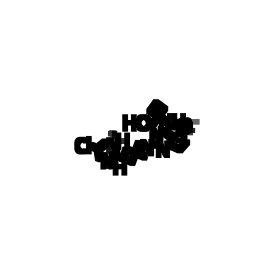 [2H]C1C2(CN(c3nc4c(c(NC5(CO)CCC5)n3)[S+]([O-])CC4)C2)CC1([2H])c1ncc(Cl)cn1